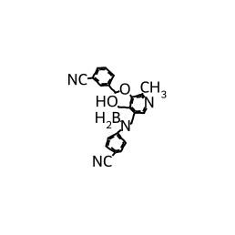 BN(Cc1cnc(C)c(OCc2cccc(C#N)c2)c1CO)c1ccc(C#N)cc1